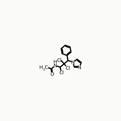 CC(=O)NC(Cl)C(Cl)(Cl)C(c1ccccc1)n1ccnc1